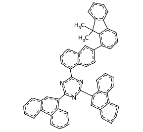 CC1(C)c2ccccc2-c2cccc(-c3ccc4c(-c5nc(-c6cc7ccccc7c7ccccc67)nc(-c6cc7ccccc7c7ccccc67)n5)cccc4c3)c21